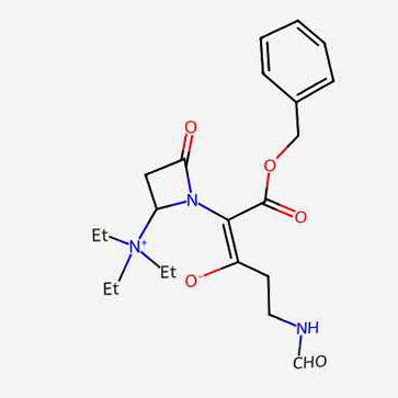 CC[N+](CC)(CC)C1CC(=O)N1/C(C(=O)OCc1ccccc1)=C(\[O-])CCNC=O